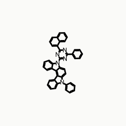 c1ccc(-c2nc(-c3cccc4ccccc34)nc(-n3c4ccccc4c4c5c6ccccc6n(-c6ccccc6)c5ccc43)n2)cc1